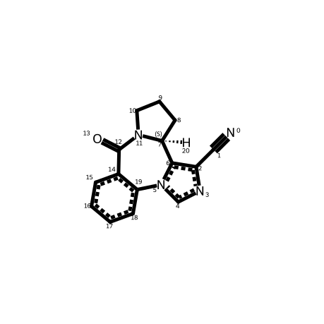 N#Cc1ncn2c1[C@@H]1CCCN1C(=O)c1ccccc1-2